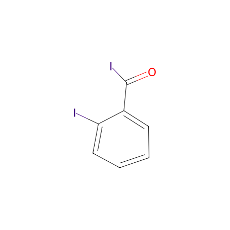 O=C(I)c1ccccc1I